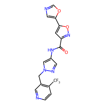 O=C(Nc1cnn(Cc2cnccc2C(F)(F)F)c1)c1cc(-c2cnco2)on1